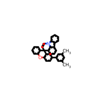 Cc1cc(C)cc(-c2ccc3c(c2)C2(c4ccccc4O3)c3ccccc3-n3c4ccccc4c4cccc2c43)c1